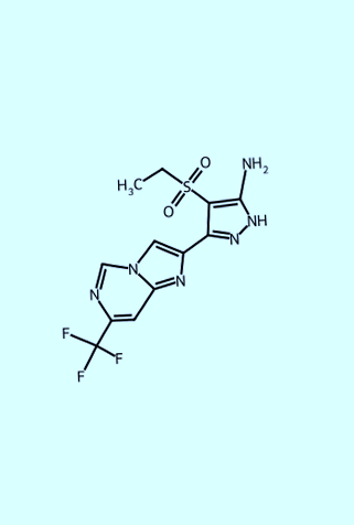 CCS(=O)(=O)c1c(-c2cn3cnc(C(F)(F)F)cc3n2)n[nH]c1N